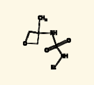 CCNS(=O)(=O)NC1(C)COC1